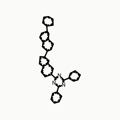 c1ccc(-c2ccc3cc(-c4ccc5ccc(-c6nc(-c7ccccc7)nc(-c7ccccc7)n6)cc5c4)ccc3c2)cc1